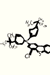 CC(C)(C)c1ccc(N(c2ccc(C(C)(C)C)cc2)c2cc(Cl)c3sc4ccccc4c3c2)cc1